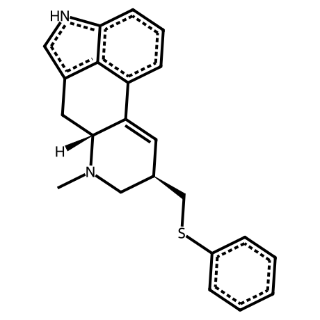 CN1C[C@H](CSc2ccccc2)C=C2c3cccc4[nH]cc(c34)C[C@H]21